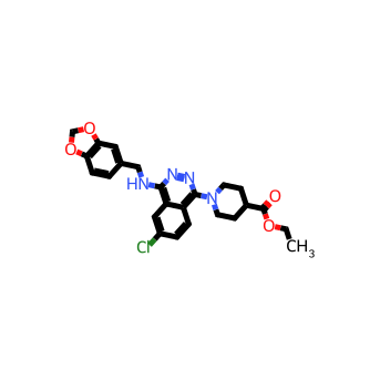 CCOC(=O)C1CCN(c2nnc(NCc3ccc4c(c3)OCO4)c3cc(Cl)ccc23)CC1